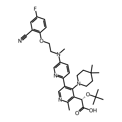 Cc1ncc(-c2ccc(N(C)CCOc3ccc(F)cc3C#N)cn2)c(N2CCC(C)(C)CC2)c1[C@H](OC(C)(C)C)C(=O)O